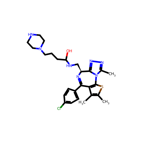 Cc1sc2c(c1C)C(c1ccc(Cl)cc1)=N[C@@H](CNC(O)CCCN1CCNCC1)c1nnc(C)n1-2